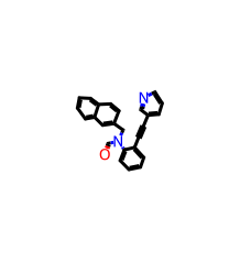 O=CN(Cc1ccc2ccccc2c1)c1ccccc1C#Cc1cccnc1